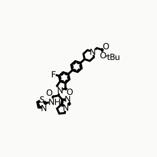 CC(C)(C)OC(=O)CN1CCC(c2ccc(-c3cc(F)c4c(c3)C(=O)N(C(C(=O)Nc3nccs3)c3ncn5c3CCC5)C4)cc2)CC1